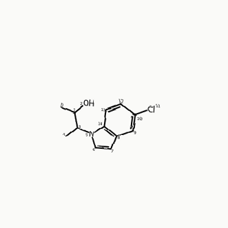 CC(O)C(C)n1ccc2cc(Cl)ccc21